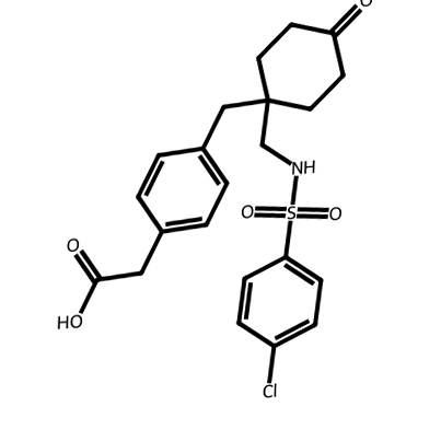 O=C(O)Cc1ccc(CC2(CNS(=O)(=O)c3ccc(Cl)cc3)CCC(=O)CC2)cc1